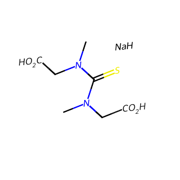 CN(CC(=O)O)C(=S)N(C)CC(=O)O.[NaH]